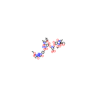 C=CCOC(=O)N[C@H](C(=O)N[C@@H](C)C(=O)Nc1ccc(COC(=O)Nc2cc(OCc3cc(C(=O)OC)cc(COc4cc5c(cc4OC)C(=O)N4CC(=C)C[C@H]4[C@H](OC4CCCCO4)N5C(=O)OC(C)(C)C)n3)c(OC)cc2C(=O)N2CC(=C)C[C@H]2CO[Si](C)(C)C(C)(C)C)cc1)C(C)C